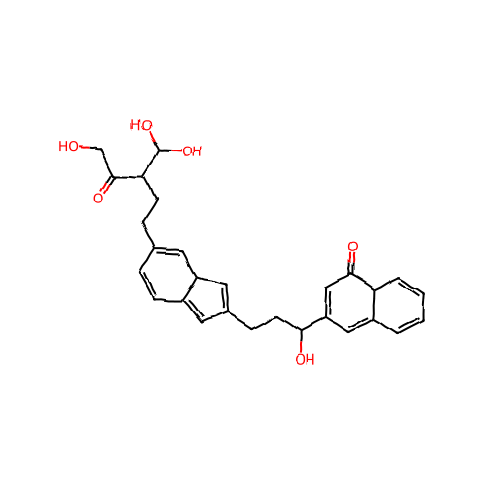 O=C1C=C(C(O)CCC2=CC3C=C(CCC(C(=O)CO)C(O)O)C=CC3=C2)C=C2C=CC=CC12